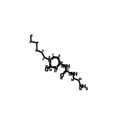 CCCCCCn1ccc(NC(=O)NCCN)nc1=O